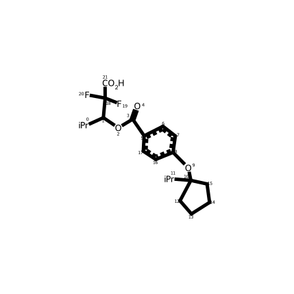 CC(C)C(OC(=O)c1ccc(OC2(C(C)C)CCCC2)cc1)C(F)(F)C(=O)O